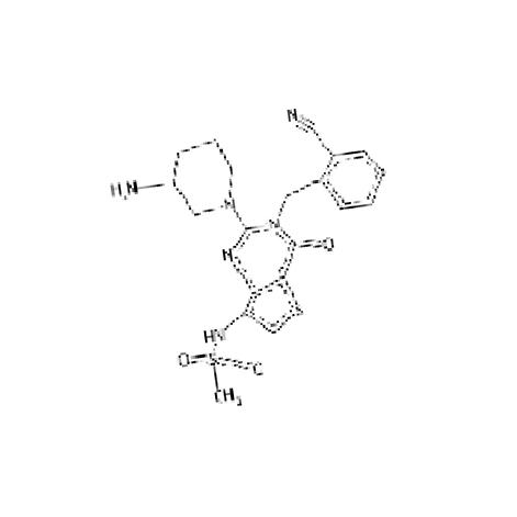 CS(=O)(=O)Nc1csc2c(=O)n(Cc3ccccc3C#N)c(N3CCCC(N)C3)nc12